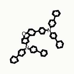 c1ccc(-c2ccc(N(c3ccc(-c4ccccc4)cc3)c3ccc(-c4ccc5oc6ccc(N(c7ccc(-c8ccccc8)cc7)c7ccc(-c8ccccc8)cc7)cc6c5c4)cc3)cc2)cc1